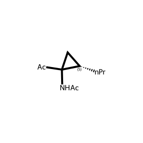 CCC[C@H]1CC1(NC(C)=O)C(C)=O